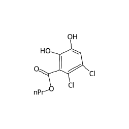 CCCOC(=O)c1c(O)c(O)cc(Cl)c1Cl